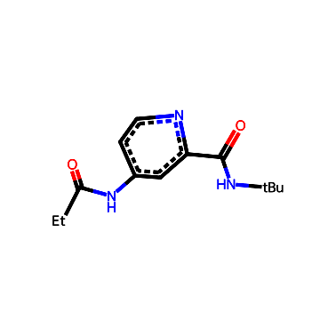 CCC(=O)Nc1ccnc(C(=O)NC(C)(C)C)c1